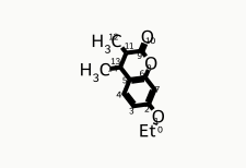 CCOc1ccc2c(c1)OC(=O)C(C)C2C